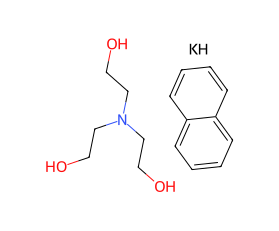 OCCN(CCO)CCO.[KH].c1ccc2ccccc2c1